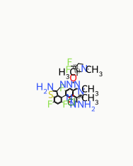 C[C@H](c1cncnc1N)N(C)c1nc(OC[C@]2(C)CN(C)CC[C@@H]2C(F)F)nc2c(F)c(-c3c(F)cc(F)c4sc(N)c(C#N)c34)c(Cl)cc12